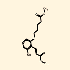 COC(=O)C=Cc1c(O)cccc1OCCCCC(=O)OC